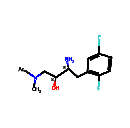 CC(=O)N(C)C[C@H](O)[C@H](N)Cc1cc(F)ccc1F